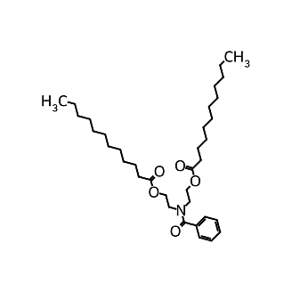 CCCCCCCCCCCC(=O)OCCN(CCOC(=O)CCCCCCCCCCC)C(=O)c1ccccc1